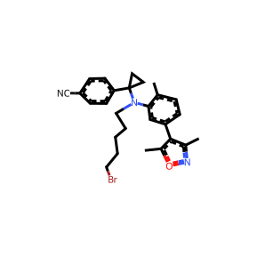 Cc1ccc(-c2c(C)noc2C)cc1N(CCCCCBr)C1(c2ccc(C#N)cc2)CC1